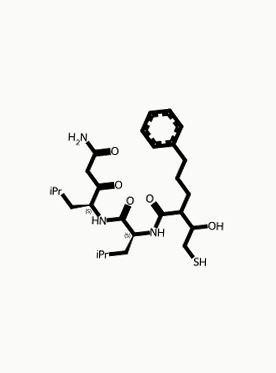 CC(C)C[C@H](NC(=O)[C@H](CC(C)C)NC(=O)C(CCCc1ccccc1)C(O)CS)C(=O)CC(N)=O